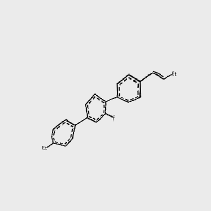 CC/C=C/c1ccc(-c2ccc(-c3ccc(CC)cc3)cc2F)cc1